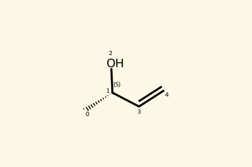 [CH2][C@H](O)C=C